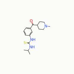 CC(C)NC(=S)Nc1cccc(C(=O)C2CCN(C)CC2)c1